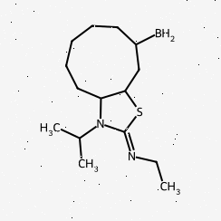 BC1CCCCCC2C(C1)S/C(=N\CC)N2C(C)C